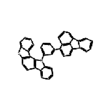 c1cc(-c2ccc3c4c(cccc24)-c2ccccc2-3)cc(-n2c3ccccc3c3ccc4sc5ccccc5c4c32)c1